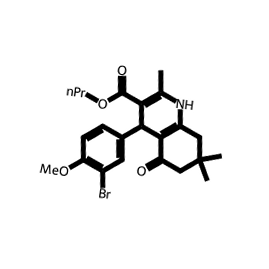 CCCOC(=O)C1=C(C)NC2=C(C(=O)CC(C)(C)C2)C1c1ccc(OC)c(Br)c1